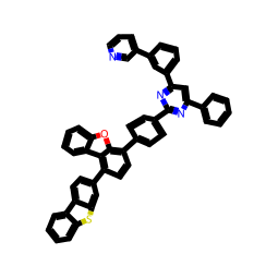 c1ccc(-c2cc(-c3cccc(-c4cccnc4)c3)nc(-c3ccc(-c4ccc(-c5ccc6c(c5)sc5ccccc56)c5c4oc4ccccc45)cc3)n2)cc1